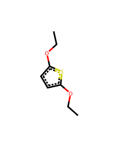 CCOc1ccc(OCC)s1